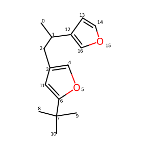 CC(Cc1coc(C(C)(C)C)c1)c1ccoc1